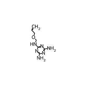 C=CCOCNc1nc(N)nc(N)n1